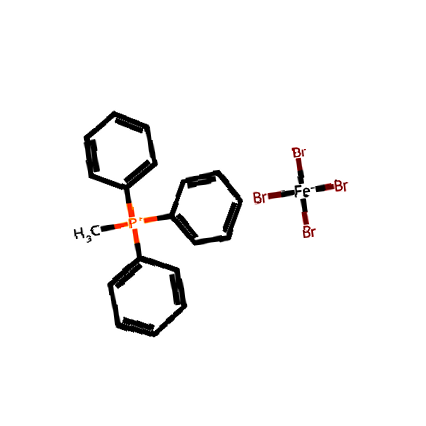 C[P+](c1ccccc1)(c1ccccc1)c1ccccc1.[Br][Fe-]([Br])([Br])[Br]